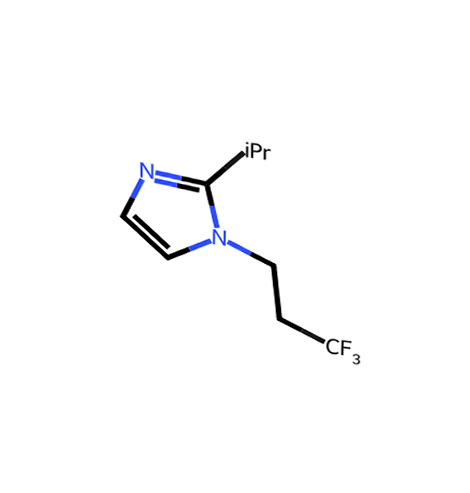 CC(C)c1nccn1CCC(F)(F)F